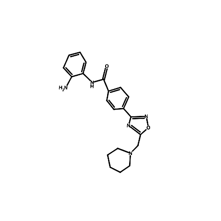 Nc1ccccc1NC(=O)c1ccc(-c2noc(CN3CCCCC3)n2)cc1